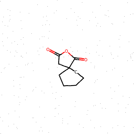 O=C1CC2(CCCCC2)C(=O)O1